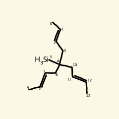 CC=CCC([SiH3])(CC=CC)CC=CC